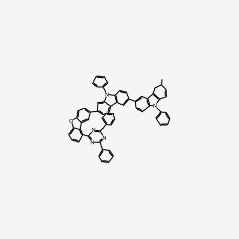 CC1C=Cc2c(c3cc(-c4ccc5c(c4)c4ccc(-c6ccc7oc8cccc(-c9nc(-c%10ccccc%10)nc(-c%10ccccc%10)n9)c8c7c6)cc4n5-c4ccccc4)ccc3n2-c2ccccc2)C1